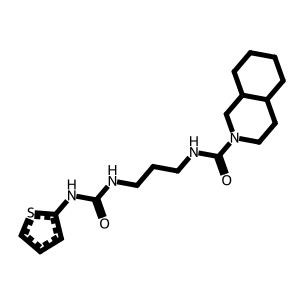 O=C(NCCCNC(=O)N1CCC2CCCCC2C1)Nc1cccs1